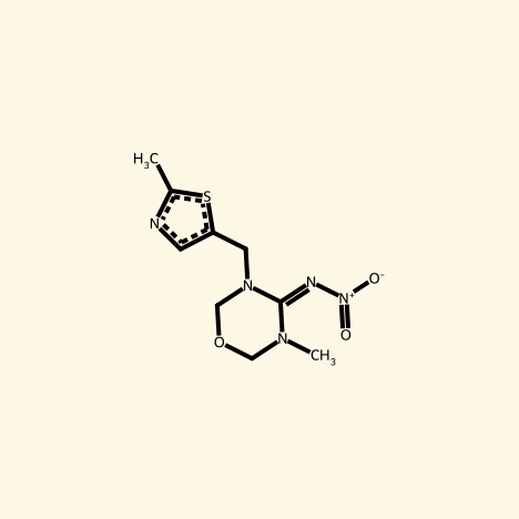 Cc1ncc(CN2COCN(C)C2=N[N+](=O)[O-])s1